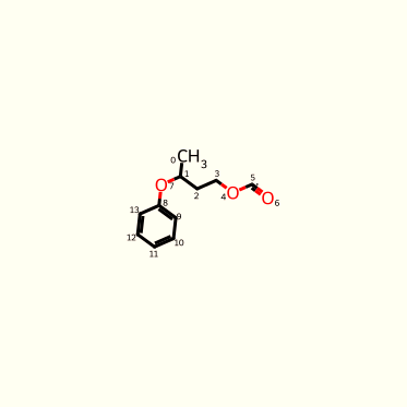 CC(CCO[C]=O)Oc1ccccc1